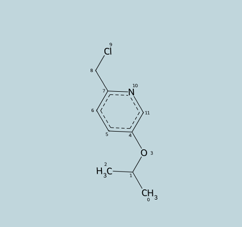 CC(C)Oc1ccc(CCl)nc1